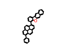 C1=CC2=C(c3ccccc3)C=CC3=CC=C4C(c5cccc6c5oc5cc7ccccc7cc56)=CC=C1C4C32